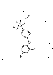 CC(O)(CCF)c1ccc(Oc2ccc(F)cc2F)cc1